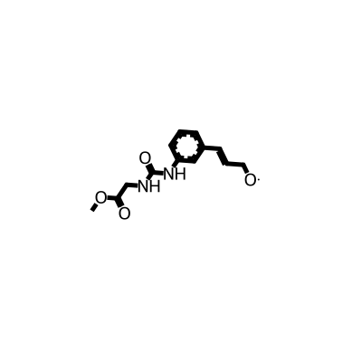 COC(=O)CNC(=O)Nc1cccc(C=CC[O])c1